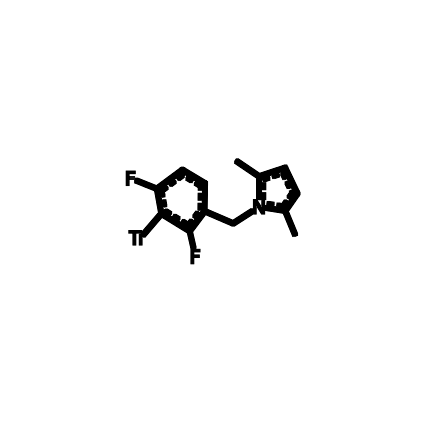 Cc1ccc(C)n1Cc1ccc(F)[c]([Ti])c1F